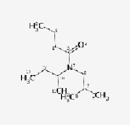 CCCC(=O)N(CC(C)C)C(C)CC